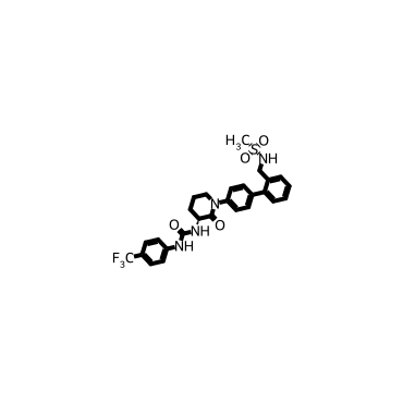 CS(=O)(=O)NCc1ccccc1-c1ccc(N2CCC[C@@H](NC(=O)Nc3ccc(C(F)(F)F)cc3)C2=O)cc1